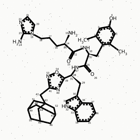 Cc1cc(O)cc(C)c1C[C@H](NC(=O)[C@H](N)CCCn1ccnc1N)C(=O)N[C@@H](Cc1c[nH]c2ccccc12)c1nc(CC23CC4CC(CC(C4)C2)C3)no1